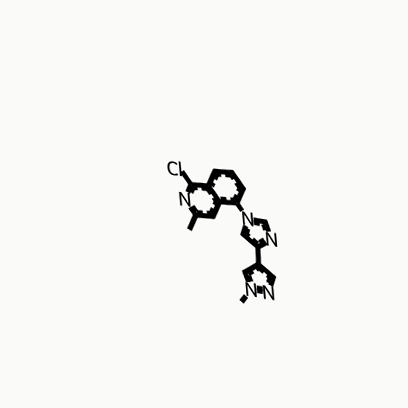 Cc1cc2c(-n3cnc(-c4cnn(C)c4)c3)cccc2c(Cl)n1